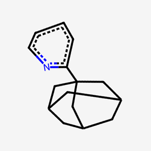 c1ccc(C23CC4CC(CC(C4)C2)C3)nc1